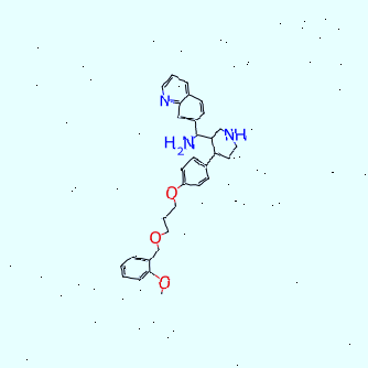 COc1ccccc1COCCCOc1ccc(C2CCNCC2C(N)c2ccc3cccnc3c2)cc1